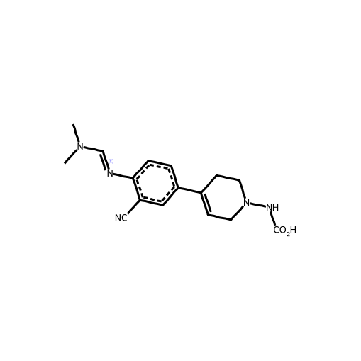 CN(C)/C=N/c1ccc(C2=CCN(NC(=O)O)CC2)cc1C#N